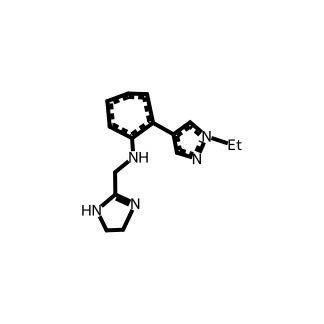 CCn1cc(-c2ccccc2NCC2=NCCN2)cn1